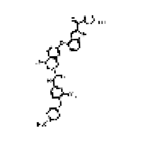 CC[C@H]1CN(C(=O)Nc2ccc(CN3CCN(C)CC3)c(C(F)(F)F)c2)Cc2cc(Oc3ccnc4[nH]c(C(=O)N5CC[C@H](O)C5)cc34)cnc21